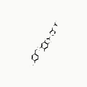 COc1ccc(CS(=O)(=O)c2cc3nc(-n4cc(OC(=O)O)cn4)[nH]c3cc2Cl)cc1